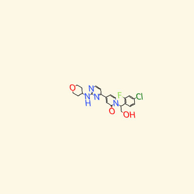 O=c1cc(-c2ccnc(NC3CCOCC3)n2)ccn1C(CO)c1ccc(Cl)cc1F